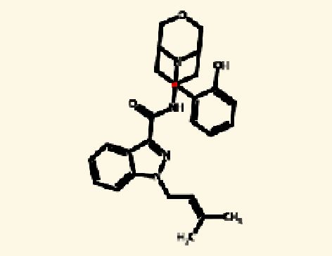 CC(C)=CCn1nc(C(=O)NC2CC3COCC(C2)N3Cc2ccccc2O)c2ccccc21